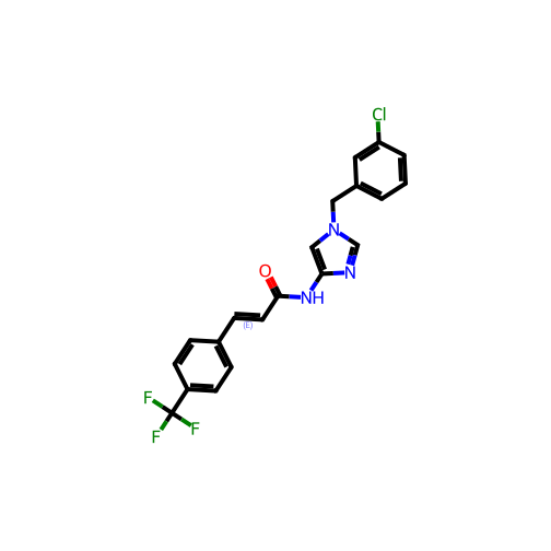 O=C(/C=C/c1ccc(C(F)(F)F)cc1)Nc1cn(Cc2cccc(Cl)c2)cn1